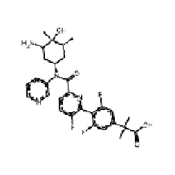 C[C@H]1C[C@@H](N(C(=O)c2ccc(F)c(-c3c(F)cc(C(C)(C)C(=O)O)cc3F)n2)c2cccnc2)C[C@@H](N)[C@]1(C)O